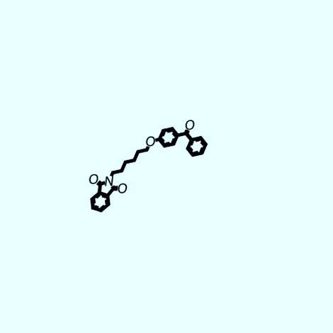 O=C(c1ccccc1)c1ccc(OCCCCCCN2C(=O)c3ccccc3C2=O)cc1